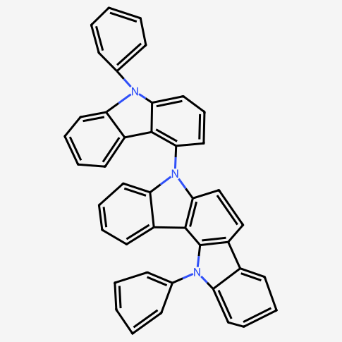 c1ccc(-n2c3ccccc3c3c(-n4c5ccccc5c5c4ccc4c6ccccc6n(-c6ccccc6)c45)cccc32)cc1